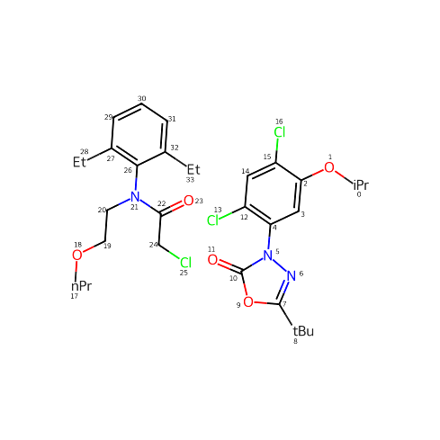 CC(C)Oc1cc(-n2nc(C(C)(C)C)oc2=O)c(Cl)cc1Cl.CCCOCCN(C(=O)CCl)c1c(CC)cccc1CC